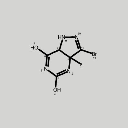 CC12N=C(O)N=C(O)C1NN=C2Br